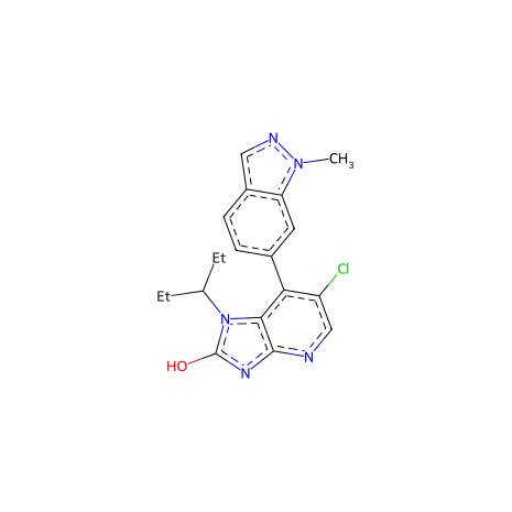 CCC(CC)n1c(O)nc2ncc(Cl)c(-c3ccc4cnn(C)c4c3)c21